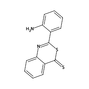 Nc1ccccc1-c1nc2ccccc2c(=S)s1